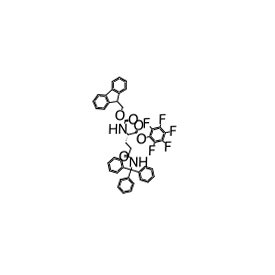 O=C(CC[C@H](NC(=O)OCC1c2ccccc2-c2ccccc21)C(=O)Oc1c(F)c(F)c(F)c(F)c1F)NC(c1ccccc1)(c1ccccc1)c1ccccc1